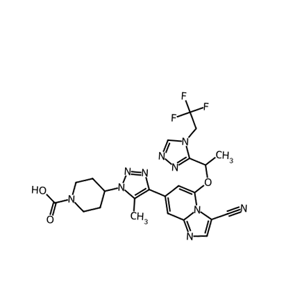 Cc1c(-c2cc(OC(C)c3nncn3CC(F)(F)F)n3c(C#N)cnc3c2)nnn1C1CCN(C(=O)O)CC1